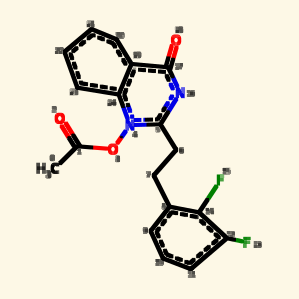 CC(=O)On1c(CCc2cccc(F)c2F)nc(=O)c2ccccc21